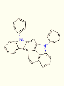 c1ccc(-n2c3ccccc3c3c4ccc5cccc6c5c4c(cc32)n6-c2ccccc2)cc1